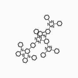 c1ccc(-c2cc(-c3ccccc3)nc(-c3ccc(-n4c5ccccc5c5cc(-c6nc(-c7ccccc7)nc(-c7ccccc7)n6)ccc54)c(-c4nc(-c5ccccc5)nc(-c5ccc(-c6cc7c8c(c6)N(c6ccccc6)c6ccccc6B8c6ccccc6N7c6ccccc6)cc5)n4)c3)n2)cc1